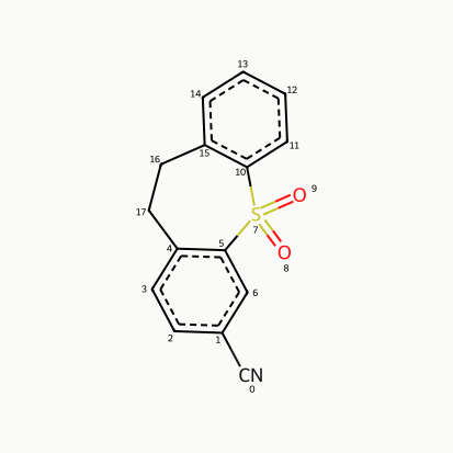 N#Cc1ccc2c(c1)S(=O)(=O)c1ccccc1CC2